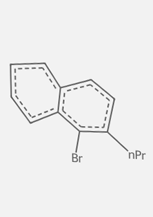 CCCc1ccc2ccccc2c1Br